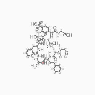 C#CCNC(=O)Nc1ccc(S(=O)(=O)O)c(CC(C)(O)C(=O)[C@H](CC(C)C)NC(=O)[C@H](Cc2ccccc2)NC(=O)[C@H](CC(C)C)NC(=O)[C@H](CCc2ccccc2)NC(=O)CN2CCOCC2)c1